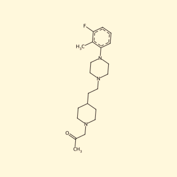 CC(=O)CN1CCC(CCN2CCN(c3cccc(F)c3C)CC2)CC1